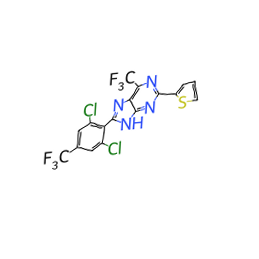 FC(F)(F)c1cc(Cl)c(-c2nc3c(C(F)(F)F)nc(-c4cccs4)nc3[nH]2)c(Cl)c1